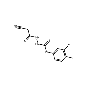 Cc1ccc(NC(=S)NNC(=O)CC#N)cc1Cl